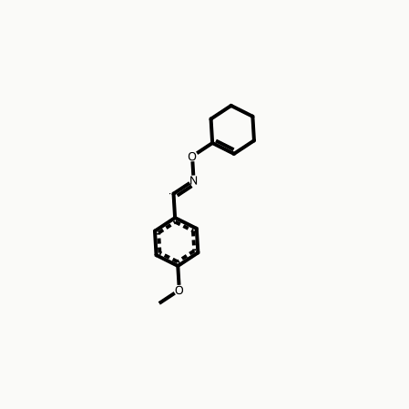 COc1ccc([C]=NOC2=CCCCC2)cc1